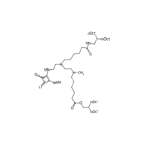 CCCCCCCCC(CCCCCCCC)CNC(=O)CCCCCN(CCNc1c(NC)c(=O)c1=O)CCN(C)CCCCCC(=O)OCC(CCCCCCCC)CCCCCCCC